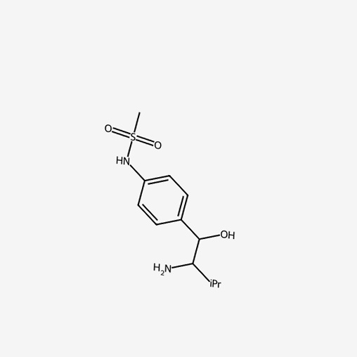 CC(C)C(N)C(O)c1ccc(NS(C)(=O)=O)cc1